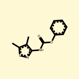 Cc1snc(NC(=O)Oc2ccccc2)c1C